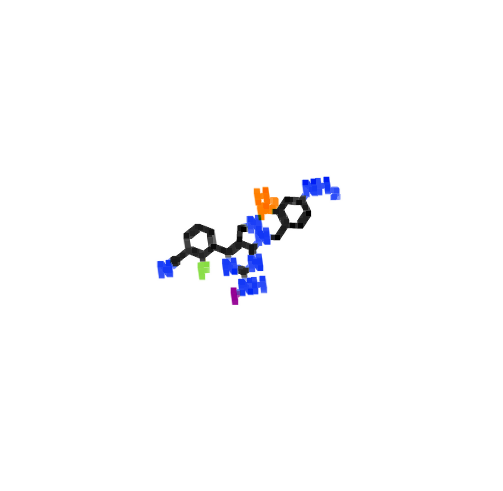 N#Cc1cccc(-c2nc(NI)nc3c2cnn3Cc2ccc(N)cc2P)c1F